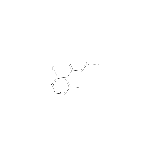 O=C(C=NO)c1c(F)cccc1F